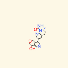 NC(=O)N1CCCc2cc(-c3cncc4c3COCC4O)cnc21